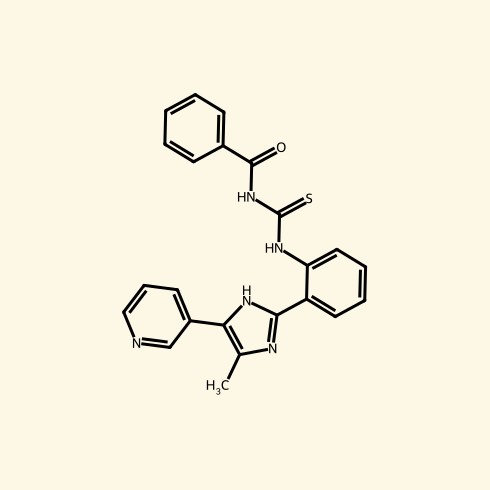 Cc1nc(-c2ccccc2NC(=S)NC(=O)c2ccccc2)[nH]c1-c1cccnc1